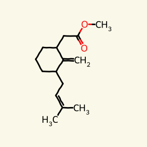 C=C1C(CC=C(C)C)CCCC1CC(=O)OC